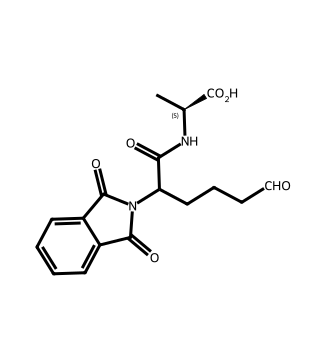 C[C@H](NC(=O)C(CCCC=O)N1C(=O)c2ccccc2C1=O)C(=O)O